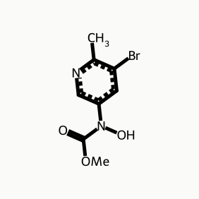 COC(=O)N(O)c1cnc(C)c(Br)c1